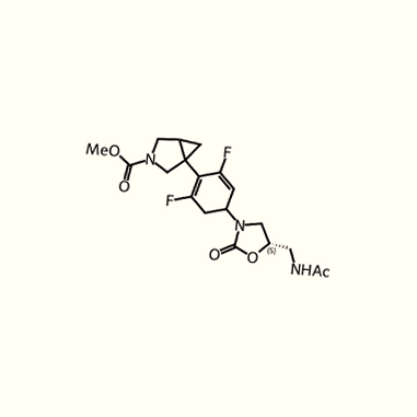 COC(=O)N1CC2CC2(C2=C(F)CC(N3C[C@H](CNC(C)=O)OC3=O)C=C2F)C1